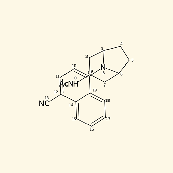 CC(=O)NC1CC2CCC(C1)N2c1ccc(C#N)c2ccccc12